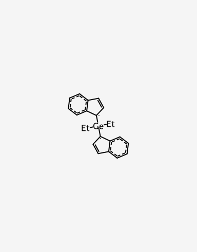 C[CH2][Ge]([CH2]C)([C]1C=Cc2ccccc21)[C]1C=Cc2ccccc21